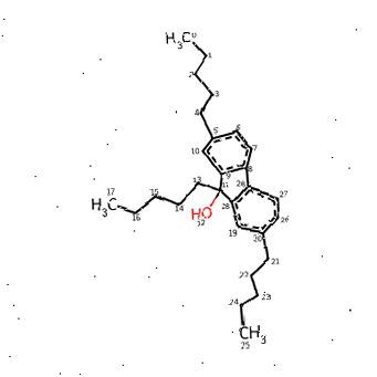 CCCCCc1ccc2c(c1)C(O)(CCCCC)c1cc(CCCCC)ccc1-2